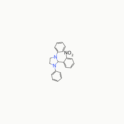 O=[N+]([O-])c1ccccc1C1N(c2ccccc2)CCN1c1ccccc1